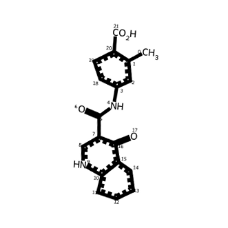 Cc1cc(NC(=O)c2c[nH]c3ccccc3c2=O)ccc1C(=O)O